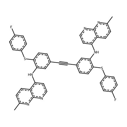 Cc1ccc2c(Nc3cc(C#Cc4ccc(Sc5ccc(F)cc5)c(Nc5ccnc6nc(C)ccc56)c4)ccc3Sc3ccc(F)cc3)ccnc2n1